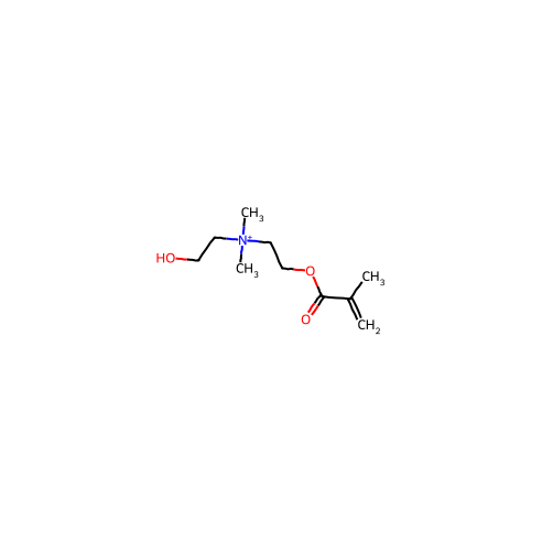 C=C(C)C(=O)OCC[N+](C)(C)CCO